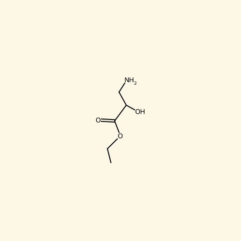 CCOC(=O)C(O)CN